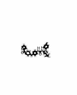 Cc1ccc(-n2nc(C(C)(C)C)cc2NC(=O)Nc2ccc(CC3CCN(C(=O)c4ccccn4)CC3)cc2)cc1